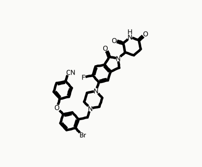 N#Cc1ccc(Oc2ccc(Br)c(CN3CCN(c4cc5c(cc4F)C(=O)N(C4CCC(=O)NC4=O)C5)CC3)c2)cc1